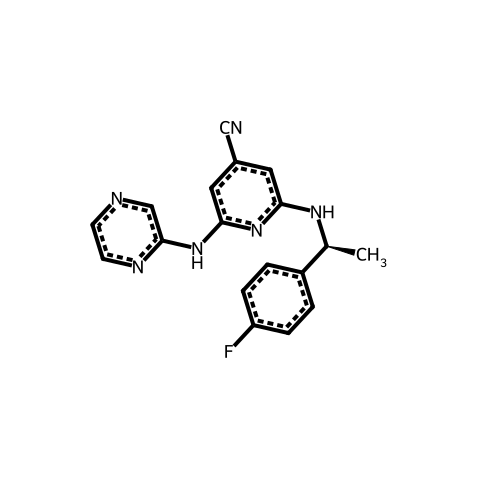 C[C@H](Nc1cc(C#N)cc(Nc2cnccn2)n1)c1ccc(F)cc1